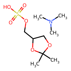 CC1(C)OCC(COS(=O)(=O)O)O1.CN(C)C